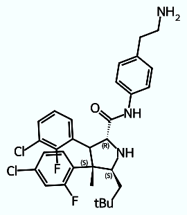 CC(C)(C)C[C@@H]1N[C@@H](C(=O)Nc2ccc(CCN)cc2)C(c2cccc(Cl)c2F)[C@@]1(C)c1ccc(Cl)cc1F